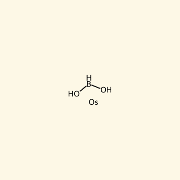 OBO.[Os]